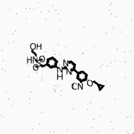 N#Cc1cc(-c2ccnc(Nc3cccc(CS(=O)(=O)NCCO)c3)n2)ccc1OCC1CC1